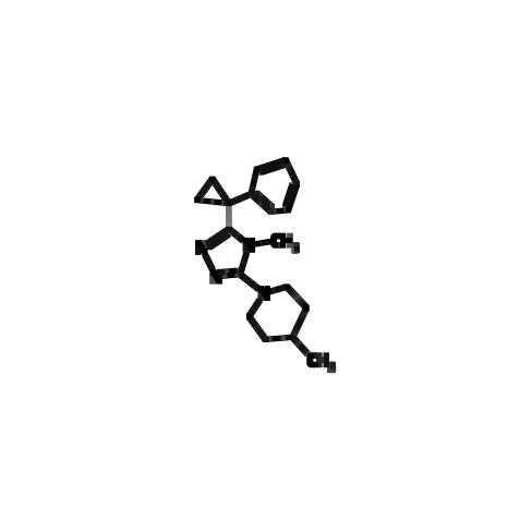 CC1CCN(c2nnc(C3(c4ccccc4)CC3)n2C)CC1